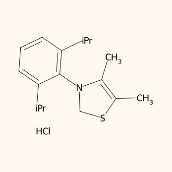 CC1=C(C)N(c2c(C(C)C)cccc2C(C)C)CS1.Cl